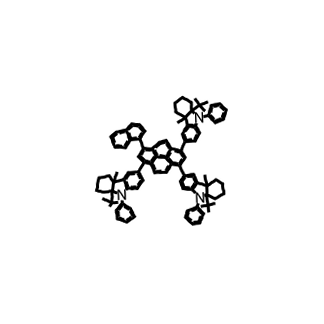 CC(C)(C)C12CCCCC1(C)c1cc(-c3cc(-c4ccc5c(c4)C4(C)CCCCC4(C(C)(C)C)N5c4ccccc4)c4ccc5c(-c6cccc7ccccc67)cc(-c6ccc7c(c6)C6(C)CCCCC6(C(C)(C)C)N7c6ccccc6)c6ccc3c4c65)ccc1N2c1ccccc1